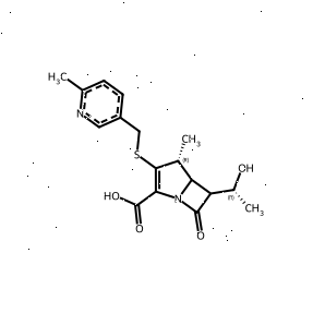 Cc1ccc(CSC2=C(C(=O)O)N3C(=O)C([C@@H](C)O)C3[C@H]2C)cn1